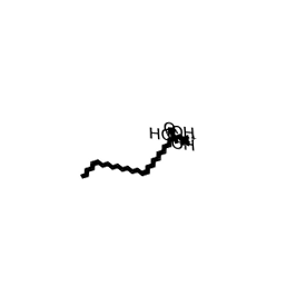 CCCC/C=C\CCCCCCCC/C=C\CCCCCCCCCC(O)(C[N+](C)(C)C)P(=O)(O)O